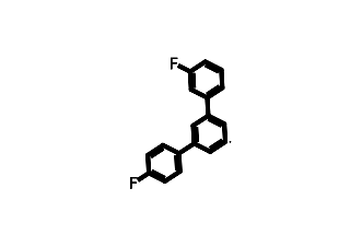 Fc1ccc(-c2c[c]cc(-c3cccc(F)c3)c2)cc1